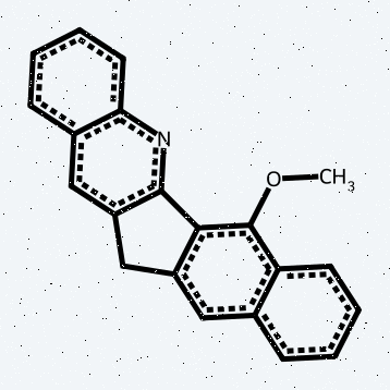 COc1c2c(cc3ccccc13)Cc1cc3ccccc3nc1-2